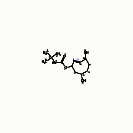 CC(C)(C)NC(=O)OC1/C=C/C(O)CCC(O)C1